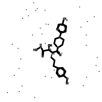 CCOc1ccc(CCC[C@@H](C(=O)N2CCN(c3ccc(C(F)(F)F)cn3)CC2)[C@H](O)C(=O)NO)cc1